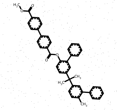 COC(=O)c1ccc(-c2ccc(C(=O)Oc3ccc(C(C)(C)c4ccc(C)c(-c5ccccc5)c4)cc3-c3ccccc3)cc2)cc1